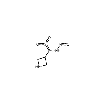 O=NNC(C1CNC1)=S(=O)=O